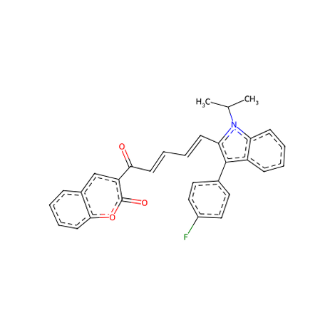 CC(C)n1c(C=CC=CC(=O)c2cc3ccccc3oc2=O)c(-c2ccc(F)cc2)c2ccccc21